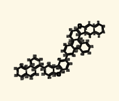 c1ccc2cc3c(cc2c1)oc1ccc2c4ccc(-c5ccc6oc7ccc(-c8cccc9c8ccc8ccccc89)cc7c6c5)cc4c4ccccc4c2c13